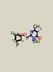 Cc1cc(=O)n(C(C)(C)C)c(COc2cc(F)cc(F)c2)n1